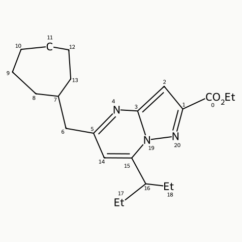 CCOC(=O)c1cc2nc(CC3CCCCCC3)cc(C(CC)CC)n2n1